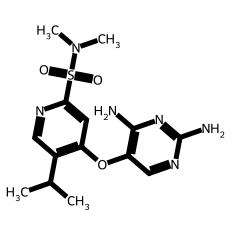 CC(C)c1cnc(S(=O)(=O)N(C)C)cc1Oc1cnc(N)nc1N